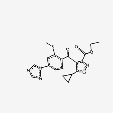 CCOC(=O)c1noc(C2CC2)c1C(=O)c1ccc(-n2cncn2)cc1SC